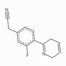 N#CCc1ccc(C2=NCC=CC2)c(F)c1